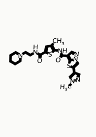 Cc1cc(C(=O)NCCN2CCCCC2)sc1NC(=O)c1cnn2cc(-c3cnn(C)c3)sc12